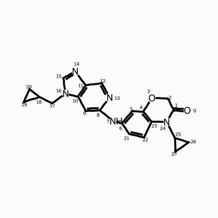 O=C1COc2cc(Nc3cc4c(cn3)ncn4CC3CC3)ccc2N1C1CC1